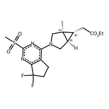 CCOC(=O)C[C@@H]1[C@H]2CN(c3nc(S(C)(=O)=O)nc4c3CCC4(F)F)C[C@@]12C